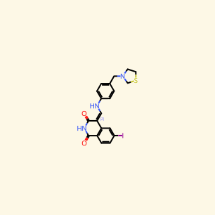 O=C1NC(=O)c2ccc(I)cc2/C1=C/Nc1ccc(CN2CCSC2)cc1